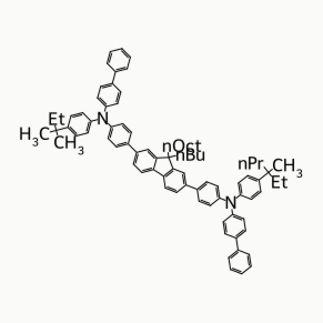 CCCCCCCCC1(CCCC)c2cc(-c3ccc(N(c4ccc(-c5ccccc5)cc4)c4ccc(C(C)(C)CC)cc4)cc3)ccc2-c2ccc(-c3ccc(N(c4ccc(-c5ccccc5)cc4)c4ccc(C(C)(CC)CCC)cc4)cc3)cc21